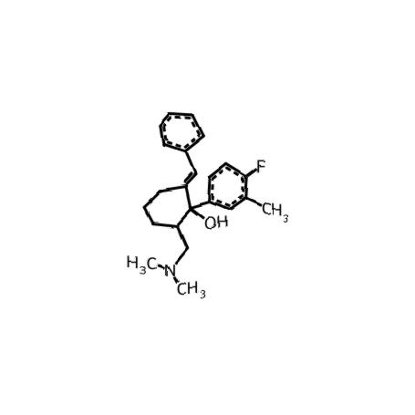 Cc1cc(C2(O)C(=Cc3ccccc3)CCCC2CN(C)C)ccc1F